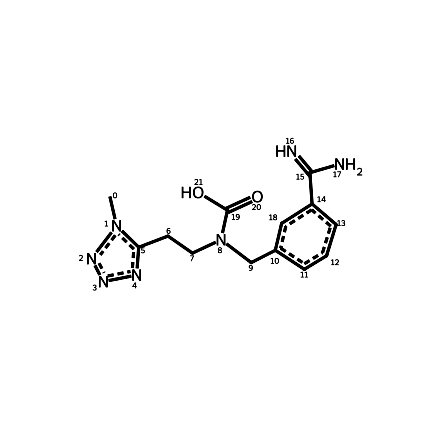 Cn1nnnc1CCN(Cc1cccc(C(=N)N)c1)C(=O)O